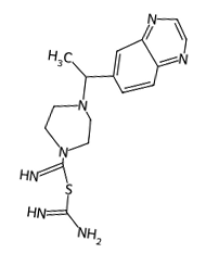 CC(c1ccc2nccnc2c1)N1CCN(C(=N)SC(=N)N)CC1